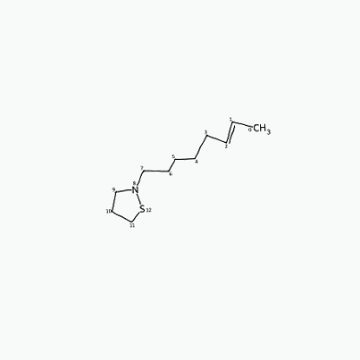 CC=CCCCCCN1CCCS1